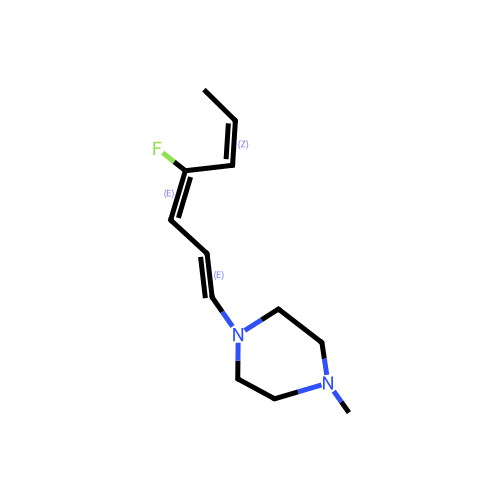 C\C=C/C(F)=C\C=C\N1CCN(C)CC1